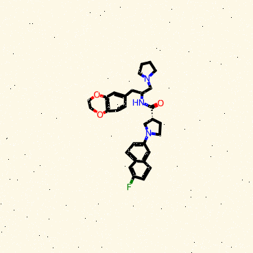 O=C(NC(Cc1ccc2c(c1)OCCO2)CN1CCCC1)[C@@H]1CCN(c2ccc3cc(F)ccc3c2)C1